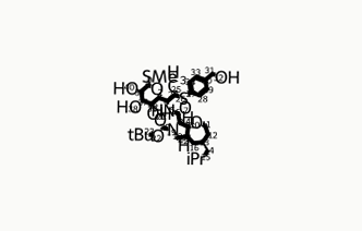 CSC1O[C@H]([C@H](NC(=O)C2[C@@H]3OCC[C@@H](CC(C)C)C[C@H]3CN2C(=O)OC(C)(C)C)[C@H](C)Sc2ccc(CO)cc2)C(O)[C@@H](O)[C@H]1O